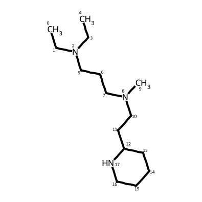 CCN(CC)CCCN(C)CCC1CCCCN1